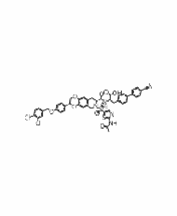 CC(=O)Nc1ncc(S(=O)(=O)N2Cc3cc4c(cc3C[C@H]2C(=O)NC(Cc2ccc(-c3ccc(C#N)cc3)cc2)C(=O)O)OC[C@H](c2ccc(OCc3ccc(Cl)c(Cl)c3)cc2)O4)s1